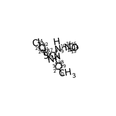 Cc1ccc(-c2nc(NCCN3CCOCC3)cc(Sc3ccc(Cl)cc3)n2)cc1